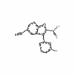 N#Cc1ccc2oc([N+](=O)[O-])c(-c3cccc(Cl)c3)c2c1